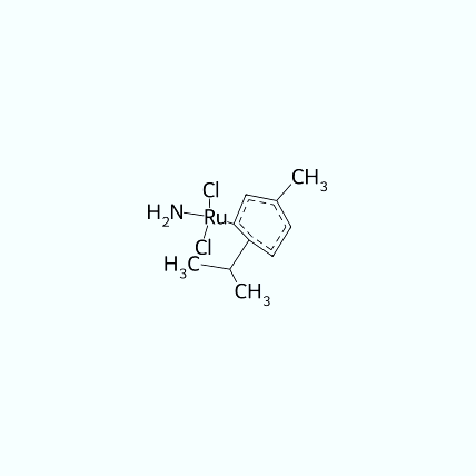 Cc1ccc(C(C)C)[c]([Ru]([NH2])([Cl])[Cl])c1